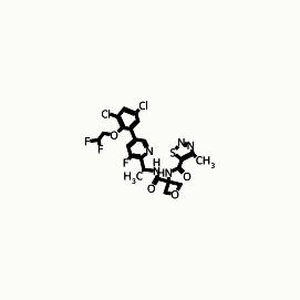 Cc1nnsc1C(=O)NC1(C(=O)N[C@H](C)c2ncc(-c3cc(Cl)cc(Cl)c3OCC(F)F)cc2F)COC1